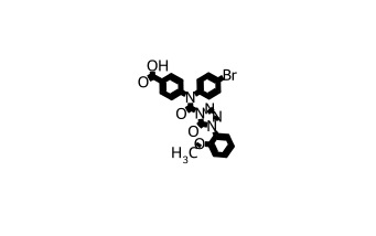 COc1ccccc1-n1nnn(C(=O)N(c2ccc(Br)cc2)c2ccc(C(=O)O)cc2)c1=O